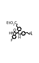 CCOC(=O)CCc1cccc(C(Nc2ccc(CCN(C)C)cc2)=C2C(=O)Nc3cc(F)ccc32)c1